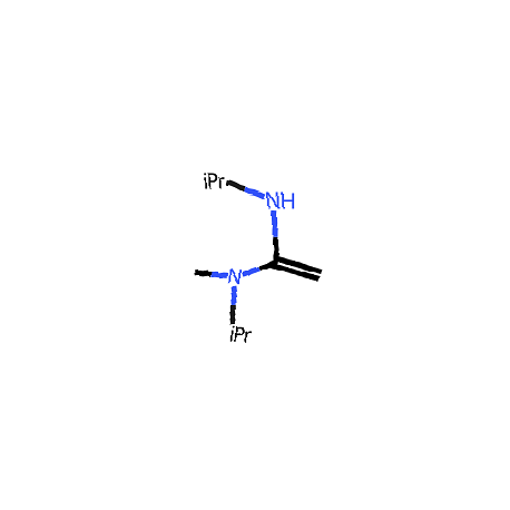 C=C(NC(C)C)N(C)C(C)C